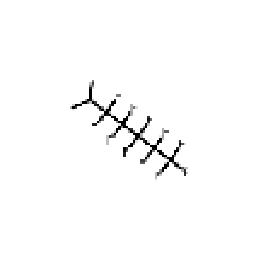 CC(C)C(F)(F)C(F)(F)C(F)(F)C(F)(F)C(F)(F)F